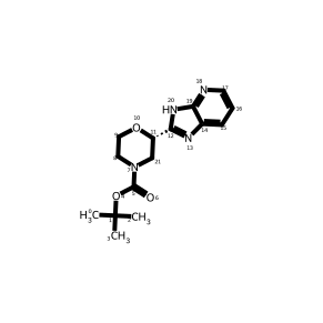 CC(C)(C)OC(=O)N1CCO[C@H](c2nc3cccnc3[nH]2)C1